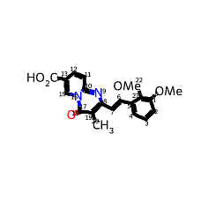 COc1cccc(/C=C/c2nc3ccc(C(=O)O)cn3c(=O)c2C)c1OC